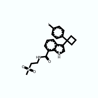 CS(=O)(=O)CCNC(=O)c1cccc2c(C3(c4ccc(I)cc4)CCC3)c[nH]c12